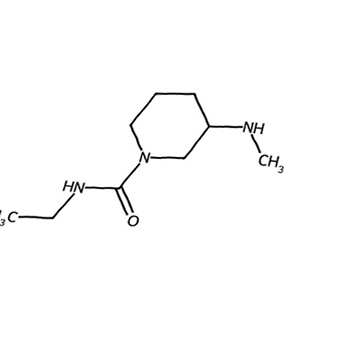 CCNC(=O)N1CCCC(NC)C1